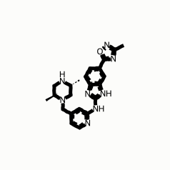 Cc1noc(-c2ccc3nc(Nc4cc(CN5C[C@@H](C)NC[C@@H]5C)ccn4)[nH]c3c2)n1